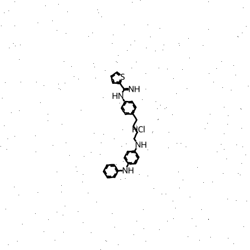 Cl.N=C(Nc1ccc(CCCCNc2ccc(Nc3ccccc3)cc2)cc1)c1cccs1